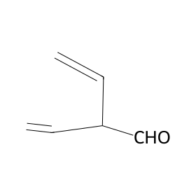 C=CC(C=C)C=O